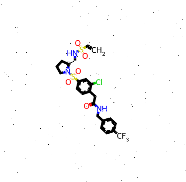 C=CS(=O)(=O)NC[C@H]1CCCN1S(=O)(=O)c1ccc(CC(=O)NCc2ccc(C(F)(F)F)cc2)c(Cl)c1